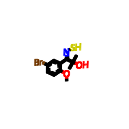 COc1ccc(Br)cc1/C(=N/S)C(C)(C)O